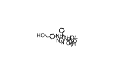 C[C@H]1O[C@@H](n2cc(-c3ccccc3)c3c(Nc4ccc(CCO)cc4)ncnc32)[C@@H]2OC(C)(C)O[C@@H]21